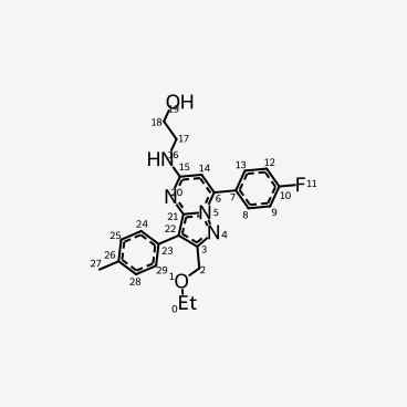 CCOCc1nn2c(-c3ccc(F)cc3)cc(NCCO)nc2c1-c1ccc(C)cc1